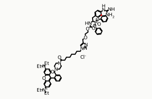 CCN(CC)c1ccc2c(-c3ccccc3C(=O)N3CCN(C(=O)CCCCCCCn4cc(COCCOC(=O)NC(Cc5ccc(NC(=N)N)cc5)P(=O)(Oc5ccccc5)Oc5ccccc5)nn4)CC3)c3ccc(=[N+](CC)CC)cc-3oc2c1.[Cl-]